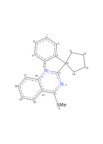 CSc1nc(C2(c3ccccc3)CCCC2)nc2ccccc12